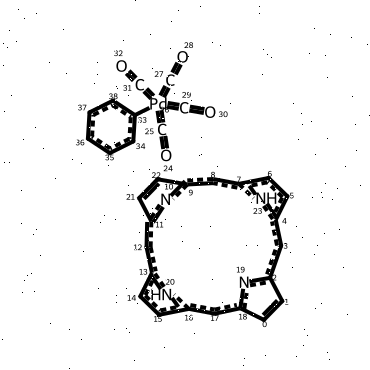 C1=Cc2cc3ccc(cc4nc(cc5ccc(cc1n2)[nH]5)C=C4)[nH]3.O=[C]=[Pd](=[C]=O)(=[C]=O)(=[C]=O)[c]1ccccc1